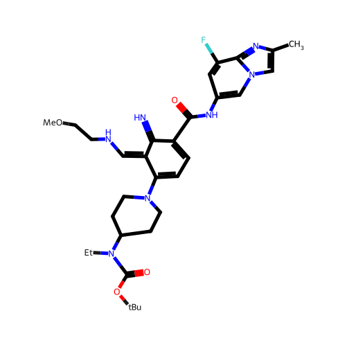 CCN(C(=O)OC(C)(C)C)C1CCN(C2=CC=C(C(=O)Nc3cc(F)c4nc(C)cn4c3)C(=N)/C2=C\NCCOC)CC1